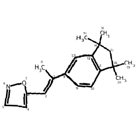 CC(=Cc1ccno1)c1ccc2c(c1)C(C)(C)CC2(C)C